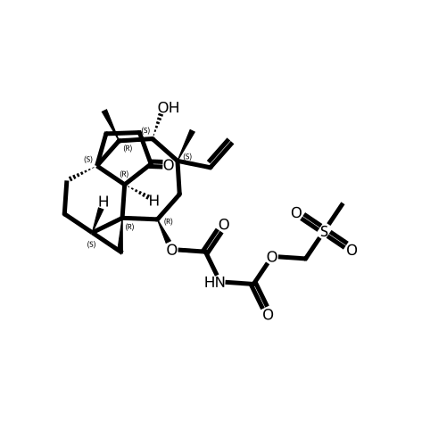 C=C[C@]1(C)C[C@@H](OC(=O)NC(=O)OCS(C)(=O)=O)[C@]23C[C@@H]2CC[C@]2(CCC(=O)[C@H]23)[C@@H](C)[C@@H]1O